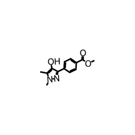 COC(=O)c1ccc(-c2nn(C)c(C)c2O)cc1